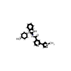 Cn1cc(-c2cc(C(=O)/N=c3\[nH]c4ccccc4n3[C@H]3CC[C@@H](O)CC3)ccn2)cn1